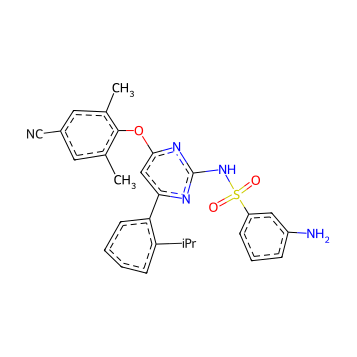 Cc1cc(C#N)cc(C)c1Oc1cc(-c2ccccc2C(C)C)nc(NS(=O)(=O)c2cccc(N)c2)n1